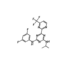 CC(C)Nc1nc(Nc2cc(F)cc(F)c2)nc(-c2nccc(C(F)(F)F)n2)n1